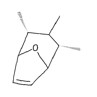 CC1[C@H](C)C2C=CC(O2)[C@@H]1C